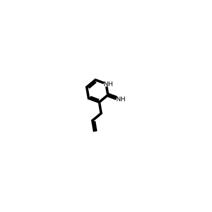 C=CCc1ccc[nH]c1=N